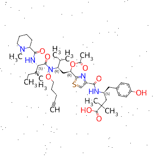 C#CCCCON(C(=O)[C@@H](NC(=O)C1CCCCN1C)[C@@H](C)CC)[C@H](C[C@@H](OC(C)=O)c1nc(C(=O)N[C@@H](Cc2ccc(O)cc2)CC(C)(C)C(=O)O)cs1)C(C)C